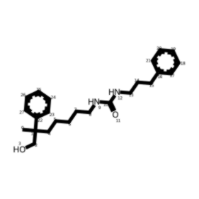 CC(CO)(CCCCCNC(=O)NCCCc1ccccc1)c1ccccc1